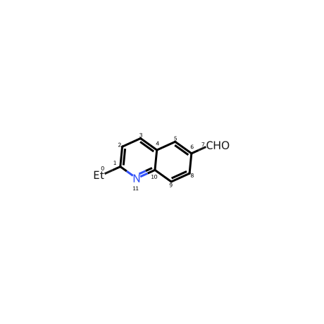 CCc1ccc2cc(C=O)ccc2n1